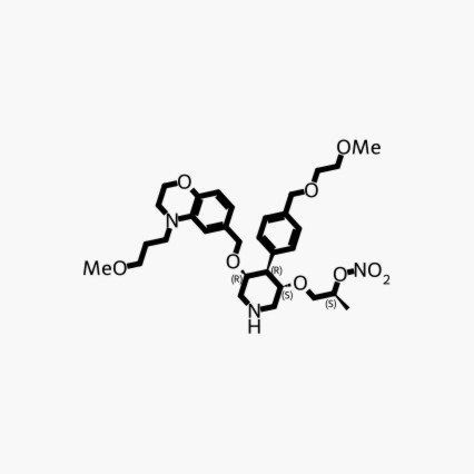 COCCCN1CCOc2ccc(CO[C@H]3CNC[C@@H](OC[C@H](C)O[N+](=O)[O-])[C@@H]3c3ccc(COCCOC)cc3)cc21